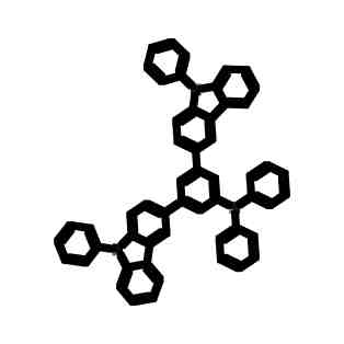 c1ccc(N(c2ccccc2)c2cc(-c3ccc4c(c3)c3ccccc3n4-c3ccccc3)cc(-c3ccc4c(c3)c3ccccc3n4-c3ccccc3)c2)cc1